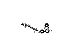 CC(C)(C)OC(=O)NCCCCCNC(=O)COc1ccc(C2CCC(=O)N(Cc3ccccc3)C2=O)cc1